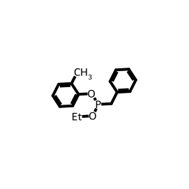 CCOP(Cc1ccccc1)Oc1ccccc1C